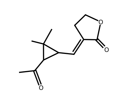 CC(=O)C1C(C=C2CCOC2=O)C1(C)C